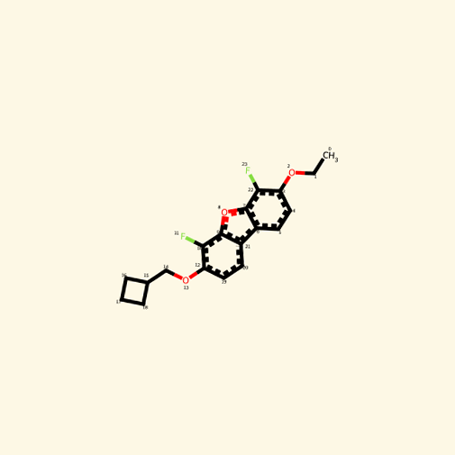 CCOc1ccc2c(oc3c(F)c(OCC4CCC4)ccc32)c1F